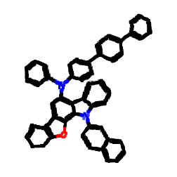 C1=Cc2c(oc3c2cc(N(c2ccccc2)c2ccc(-c4ccc(-c5ccccc5)cc4)cc2)c2c4ccccc4n(-c4ccc5ccccc5c4)c32)CC1